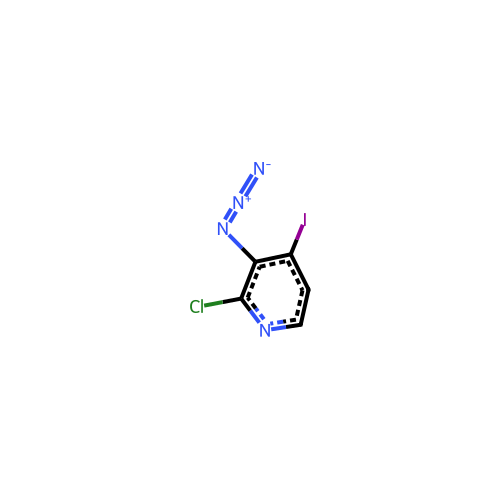 [N-]=[N+]=Nc1c(I)ccnc1Cl